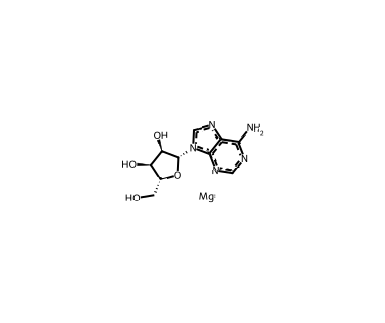 Nc1ncnc2c1ncn2[C@@H]1O[C@H](CO)[C@@H](O)[C@H]1O.[Mg]